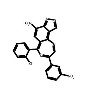 O=[N+]([O-])c1cccc(-c2cnc3c(cc([N+](=O)[O-])c4nncc43)c(-c3ccccc3Cl)n2)c1